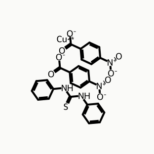 O=C([O-])c1ccc([N+](=O)[O-])cc1.O=C([O-])c1ccc([N+](=O)[O-])cc1.S=C(Nc1ccccc1)Nc1ccccc1.[Cu+2]